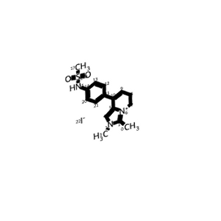 Cc1n(C)cc2[n+]1CCC=C2c1ccc(NS(C)(=O)=O)cc1.[I-]